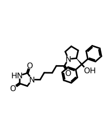 O=C1CN(CCCCC(=O)N2CCC[C@H]2C(O)(c2ccccc2)c2ccccc2)C(=O)N1